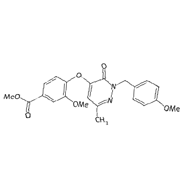 COC(=O)c1ccc(Oc2cc(C)nn(Cc3ccc(OC)cc3)c2=O)c(OC)c1